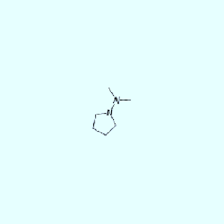 [CH3][Al]([CH3])[N]1CCCC1